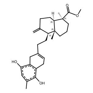 C=C1CC[C@@H]2[C@](C)(CCC[C@]2(C)C(=O)OC)[C@H]1CCC1=CCc2c(O)c(C)cc(O)c2C1